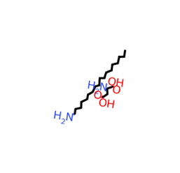 CCCCCCCCCCCCCCCCCCN.NC(CC(=O)O)C(=O)O